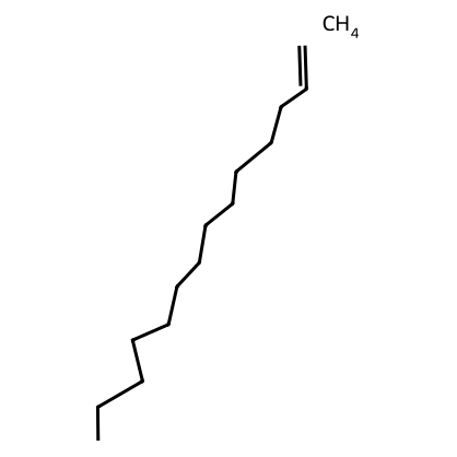 C.C=CCCCCCCCCCCCC